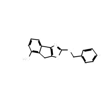 Oc1cccc2c1Cc1sc(SCc3ccccc3)nc1-2